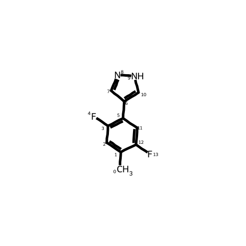 Cc1cc(F)c(-c2cn[nH]c2)cc1F